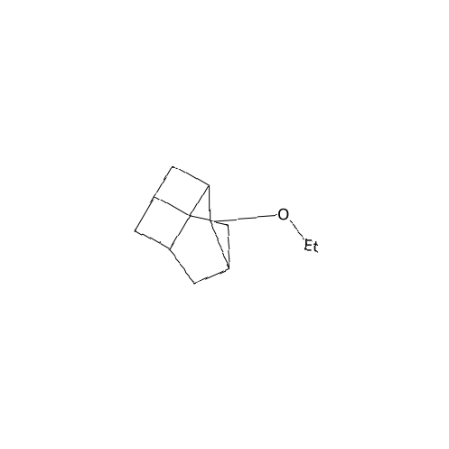 CCOC1C2CC3CC4CC1C34C2